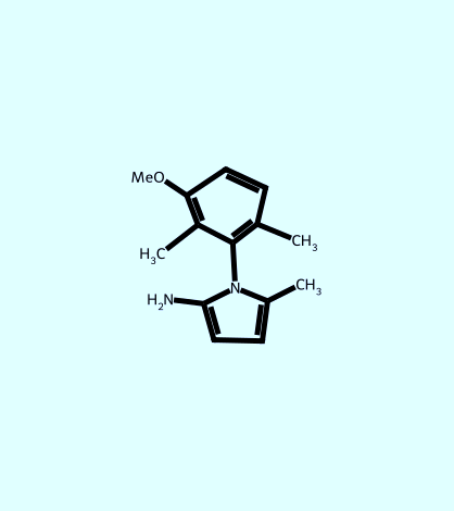 COc1ccc(C)c(-n2c(C)ccc2N)c1C